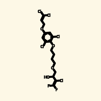 OC(COCCCCOc1c(Cl)cc(OCC=C(Cl)Cl)cc1Cl)C(Cl)=C(F)F